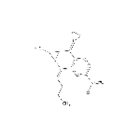 CCC/C=C1\c2cc([N+](=O)[O-])ccc2C(=C2CC2)C2C(C)N12